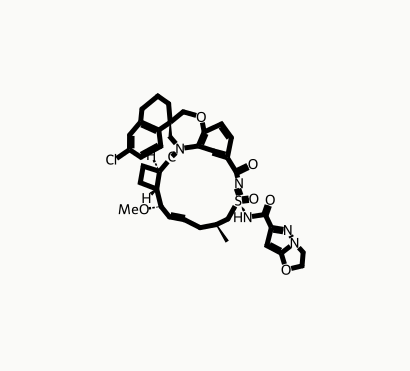 CO[C@H]1/C=C/C[C@H](C)C[S@@](=O)(NC(=O)c2cc3n(n2)CCO3)=NC(=O)c2ccc3c(c2)N(C[C@@H]2CC[C@H]21)C[C@@]1(CCCc2cc(Cl)ccc21)CO3